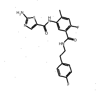 Cc1cc(F)c(C(=O)NCCc2ccc(F)cc2)cc1NC(=O)c1cnc(N)s1